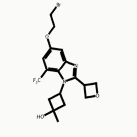 CC1(O)CC(n2c(C3COC3)nc3cc(OCCBr)cc(C(F)(F)F)c32)C1